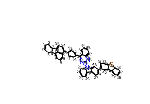 c1ccc2c(c1)-c1cccc3c(-c4ccc(-c5nc(-n6c7ccccc7c7ccc(-c8ccc9sc%10ccccc%10c9c8)cc76)nc6ccccc56)cc4)ccc-2c13